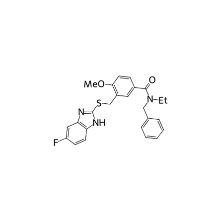 CCN(Cc1ccccc1)C(=O)c1ccc(OC)c(CSc2nc3cc(F)ccc3[nH]2)c1